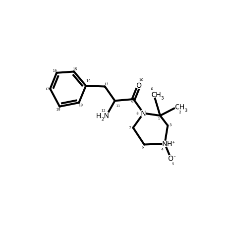 CC1(C)C[NH+]([O-])CCN1C(=O)C(N)Cc1ccccc1